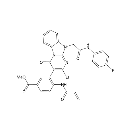 C=CC(=O)Nc1ccc(C(=O)OC)cc1-c1c(CC)nc2n(CC(=O)Nc3ccc(F)cc3)c3ccccc3n2c1=O